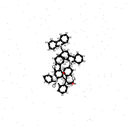 O=P1(c2ccccc2)c2ccccc2C2(c3ccccc3Oc3cc(-n4c5ccccc5c5cc(-n6c7ccccc7c7ccccc76)ccc54)ccc32)c2cc3c(cc21)oc1ccccc13